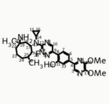 COc1ncc(-c2ccc(-c3cnc(N(C4CC4)[C@H]4C[C@@](C)(N)CCCC(C)[C@H]4F)nn3)c(O)c2)nc1OC